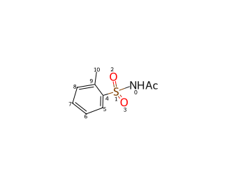 CC(=O)NS(=O)(=O)c1ccccc1C